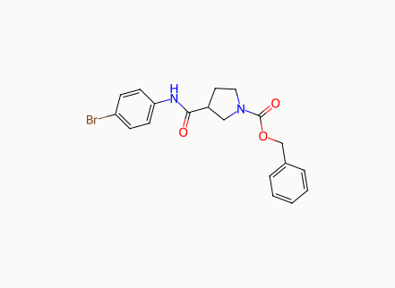 O=C(Nc1ccc(Br)cc1)C1CCN(C(=O)OCc2ccccc2)C1